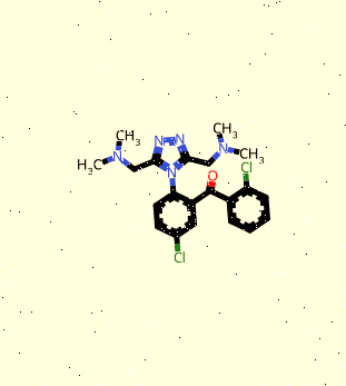 CN(C)Cc1nnc(CN(C)C)n1-c1ccc(Cl)cc1C(=O)c1ccccc1Cl